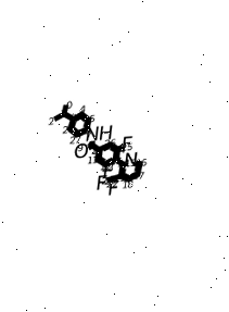 CC(C)c1ccc(NC(=O)c2ccc(-c3ncccc3C(F)(F)F)c(F)c2)cc1